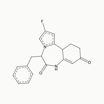 O=C1C=C2NC(=O)C(Cc3ccccc3)n3cc(F)cc3C2CC1